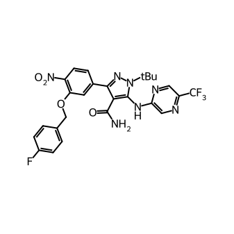 CC(C)(C)n1nc(-c2ccc([N+](=O)[O-])c(OCc3ccc(F)cc3)c2)c(C(N)=O)c1Nc1cnc(C(F)(F)F)cn1